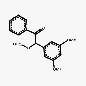 COc1cc(OC)cc(C(OC=O)C(=O)c2ccccc2)c1